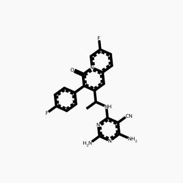 CC(Nc1nc(N)nc(N)c1C#N)c1cc2ccc(F)cn2c(=O)c1-c1ccc(F)cc1